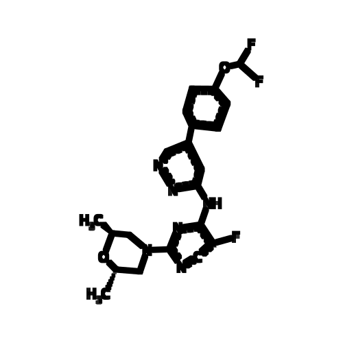 C[C@H]1CN(c2ncc(F)c(Nc3cc(-c4ccc(OC(F)F)cc4)cnn3)n2)C[C@H](C)O1